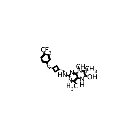 Cc1nc(NC[C@H]2C[C@H](Sc3ccc(C(F)(F)F)cc3)C2)nc2c1NC(O)[C@H](C)N2C